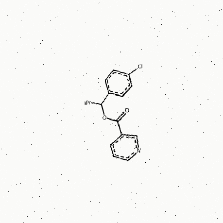 CC(C)C(OC(=O)c1cccnc1)c1ccc(Cl)cc1